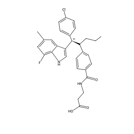 CCCC(c1ccc(C(=O)NCCC(=O)O)cc1)[C@H](c1ccc(Cl)cc1)c1c[nH]c2c(F)cc(C)cc12